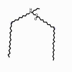 CCCCCCCCCCCCCCC/C=C\CCCCCCCCCNC(CCCC)COC(=O)CCCCCCCC/C=C\CCCCCCCCCCCCCCC